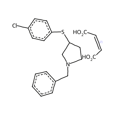 Clc1ccc(SC2CCN(Cc3ccccc3)C2)cc1.O=C(O)/C=C\C(=O)O